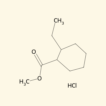 CCC1CCCCC1C(=O)OC.Cl